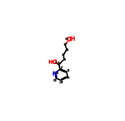 OCCCCC(O)c1ccccn1